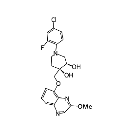 COc1cnc2cccc(OC[C@]3(O)CCN(c4ccc(Cl)cc4F)C[C@H]3O)c2n1